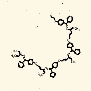 C=C/C(=C\C)N=C=C(c1ccccc1)c1ccc(OC/C=C/C(=C\C)N=C=C(c2ccccc2)c2ccc(OC/C=C/C(=C\C)N=C=C(c3ccccc3)c3ccc(OC/C=C/C(=C\C)N=C=C(c4ccccc4)c4ccc(OCCCl)cc4)cc3)cc2)cc1